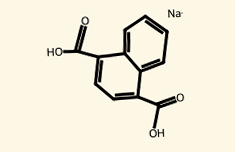 O=C(O)c1ccc(C(=O)O)c2ccccc12.[Na]